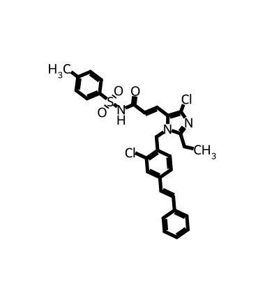 CCc1nc(Cl)c(C=CC(=O)NS(=O)(=O)c2ccc(C)cc2)n1Cc1ccc(C=Cc2ccccc2)cc1Cl